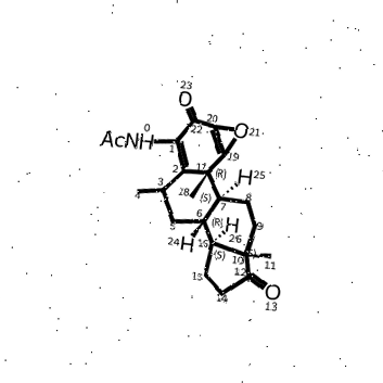 CC(=O)NC1=C2C(C)C[C@@H]3[C@H](CC[C@]4(C)C(=O)CC[C@@H]34)[C@@]2(C)C2=C(O2)C1=O